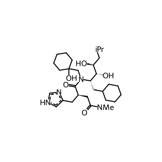 CNC(=O)C[C@@H](Cc1c[nH]cn1)C(=O)N(CC1(O)CCCCC1)[C@@H](CC1CCCCC1)[C@@H](O)[C@@H](O)CC(C)C